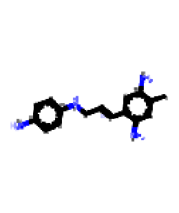 Cc1cc(N)c(/C=C/CNc2ccc(N)cc2)cc1N